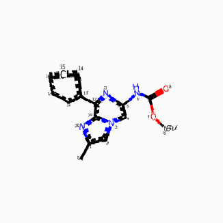 Cc1cn2cc(NC(=O)OC(C)(C)C)nc(-c3ccccc3)c2n1